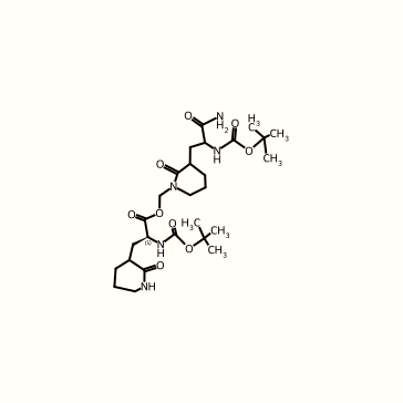 CC(C)(C)OC(=O)NC(CC1CCCN(COC(=O)[C@H](CC2CCCNC2=O)NC(=O)OC(C)(C)C)C1=O)C(N)=O